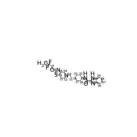 CC(F)(F)COc1nc2c(s1)CCN(CC[C@H]1CC[C@H](NC(=O)c3nc4ccccc4[nH]3)CC1)C2